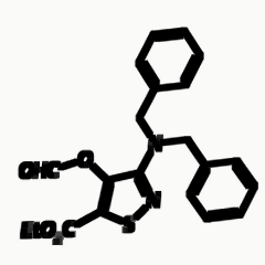 CCOC(=O)c1snc(N(Cc2ccccc2)Cc2ccccc2)c1OC=O